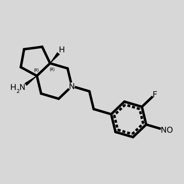 N[C@@]12CCC[C@@H]1CN(CCc1ccc(N=O)c(F)c1)CC2